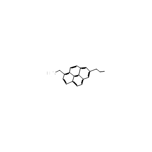 CCCc1cc2ccc3ccc(CN)c4ccc(c1)c2c34